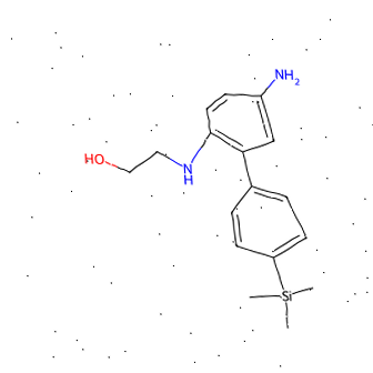 C[Si](C)(C)c1ccc(-c2cc(N)ccc2NCCO)cc1